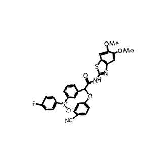 COc1cc2nc(NC(=O)C(Oc3ccc(C#N)cc3)c3cccc([S+]([O-])c4ccc(F)cc4)c3)sc2cc1OC